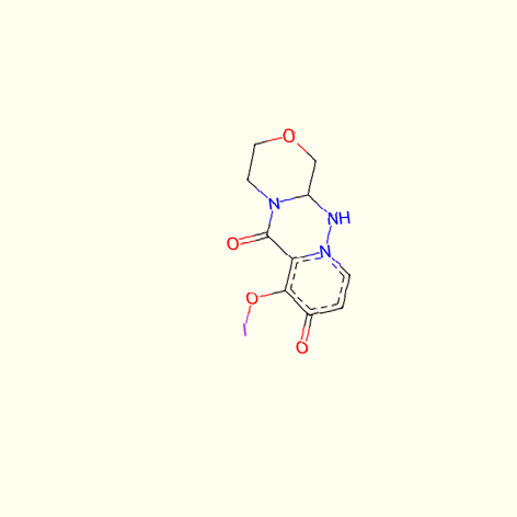 O=C1c2c(OI)c(=O)ccn2NC2COCCN12